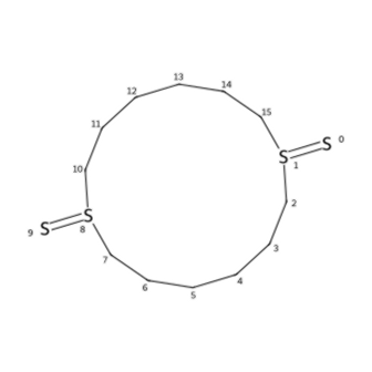 S=S1CCCCCCS(=S)CCCCCC1